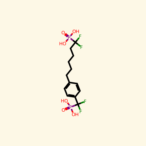 O=P(O)(O)C(F)(F)CCCCCc1ccc(C(F)(F)P(=O)(O)O)cc1